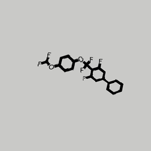 FC(F)OC1CCC(OC(F)(F)C2C(F)CC(C3CCCCC3)CC2F)CC1